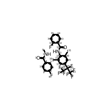 CNC(=O)c1ccc(F)cc1.O=C(Nc1c(I)cc(C(F)(C(F)(F)F)C(F)(F)F)cc1I)c1ccccc1F